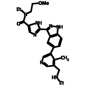 CCNCc1cncc(-c2ccc3[nH]nc(-c4ncc(C(=O)N(CC)CCOC)[nH]4)c3c2)c1C